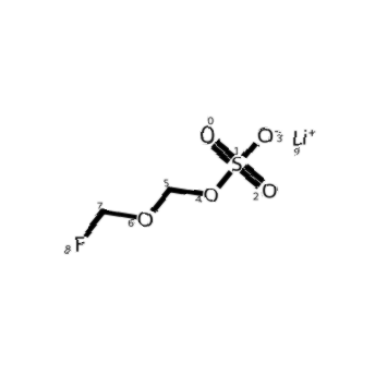 O=S(=O)([O-])OCOCF.[Li+]